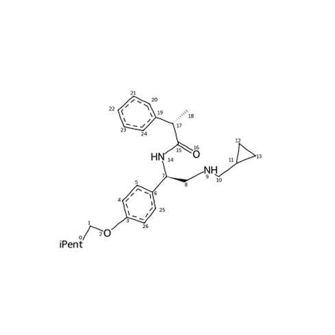 CCCC(C)COc1ccc([C@H](CNCC2CC2)NC(=O)[C@@H](C)c2ccccc2)cc1